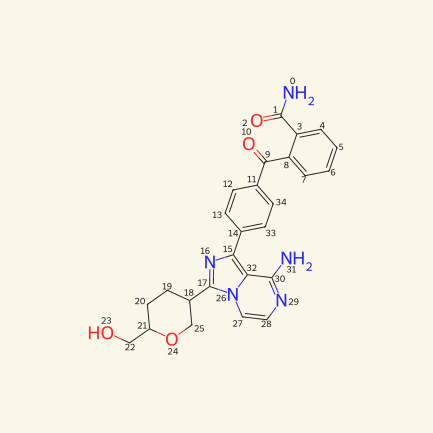 NC(=O)c1ccccc1C(=O)c1ccc(-c2nc(C3CCC(CO)OC3)n3ccnc(N)c23)cc1